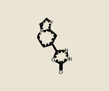 O=c1[nH]nc(-c2ccn3ccnc3c2)o1